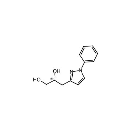 OC[C@H](O)Cc1ccn(-c2ccccc2)n1